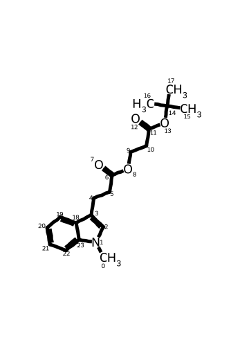 Cn1cc(CCC(=O)OCCC(=O)OC(C)(C)C)c2ccccc21